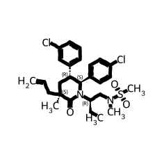 C=CC[C@@]1(C)C[C@H](c2cccc(Cl)c2)[C@@H](c2ccc(Cl)cc2)N([C@H](CC)CN(C)S(C)(=O)=O)C1=O